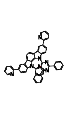 c1ccc(-c2nc(-c3ccccc3)nc(-n3c4ccc(-c5ccccn5)cc4c4ccc5c6cc(-c7ccccn7)ccc6n(-c6ccccc6)c5c43)n2)cc1